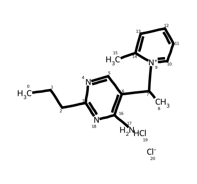 CCCc1ncc(C(C)[n+]2ccccc2C)c(N)n1.Cl.[Cl-]